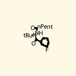 CCCCCC(=O)NN(C(=O)c1cccc(F)c1)C(C)(C)C